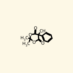 CC1(C)OC(=O)C(C)(c2ccccc2)C(=O)O1